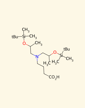 CC(CN(CCCC(=O)O)CC(C)O[Si](C)(C)C(C)(C)C)O[Si](C)(C)C(C)(C)C